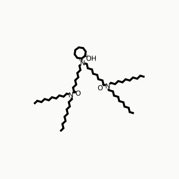 CCCCCCCCCCN(CCCCCCCCCC)C(=O)CCCCCCCN(CCCCCCCC(=O)N(CCCCCCCCCC)CCCCCCCCCC)[C@H]1CCCCCC[C@H]1O